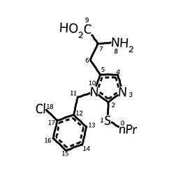 CCCSc1ncc(CC(N)C(=O)O)n1Cc1ccccc1Cl